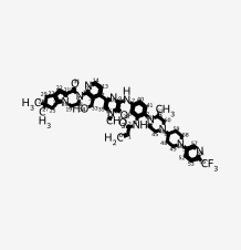 C=CC(=O)Nc1cc(Nc2nc(-c3ccnc(N4CCn5c(cc6c5CC(C)(C)C6)C4=O)c3CO)cn(C)c2=O)ccc1N1CCN(C2CCN(c3ccc(C(F)(F)F)nc3)CC2)C[C@@H]1C